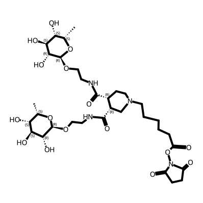 C[C@@H]1O[C@@H](OCCNC(=O)[C@H]2CN(CCCCCC(=O)ON3C(=O)CCC3=O)CC[C@H]2C(=O)NCCO[C@@H]2O[C@@H](C)[C@@H](O)[C@H](O)[C@H]2O)[C@H](O)[C@@H](O)[C@@H]1O